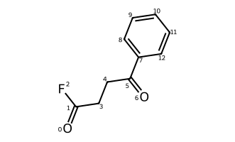 O=C(F)CCC(=O)c1ccccc1